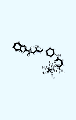 C/C(=C\C[C@H]1CC[C@@H](NC(=O)/C=C\[C@H](C)O[Si](C)(C)C(C)(C)C)CC1)CS(=O)(=O)c1nc2ccccc2s1